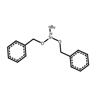 CCC[CH2][SnH]([O]Cc1ccccc1)[O]Cc1ccccc1